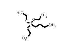 CCO[Si](CCC[AsH2])(OCC)OCC